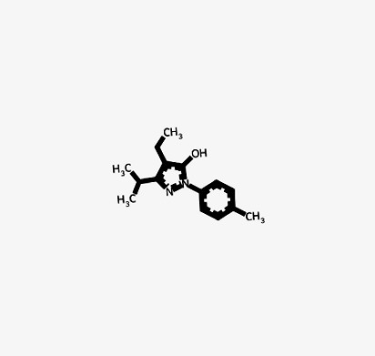 CCc1c(C(C)C)nn(-c2ccc(C)cc2)c1O